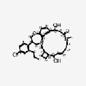 CCCc1cc(Cl)ccc1C1COc2ccc3cc2N(C1)CC1CCC1C(O)/C=C/CCN(C)C(=O)CC3O